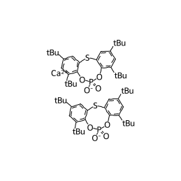 CC(C)(C)c1cc2c(c(C(C)(C)C)c1)OP(=O)([O-])Oc1c(cc(C(C)(C)C)cc1C(C)(C)C)S2.CC(C)(C)c1cc2c(c(C(C)(C)C)c1)OP(=O)([O-])Oc1c(cc(C(C)(C)C)cc1C(C)(C)C)S2.[Ca+2]